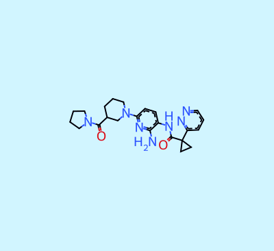 Nc1nc(N2CCCC(C(=O)N3CCCC3)C2)ccc1NC(=O)C1(c2cccnn2)CC1